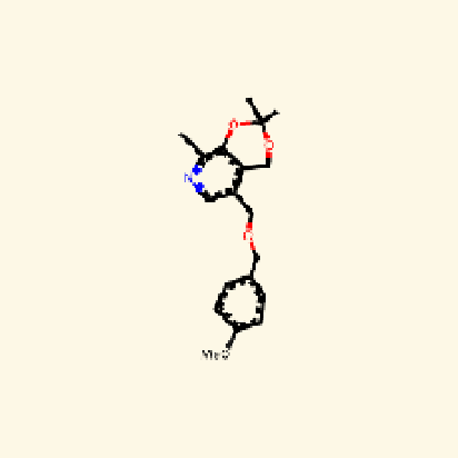 COc1ccc(COCc2cnc(C)c3c2COC(C)(C)O3)cc1